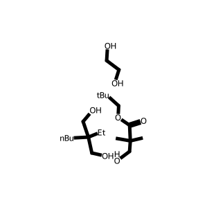 CC(C)(C)COC(=O)C(C)(C)CO.CCCCC(CC)(CO)CO.OCCO